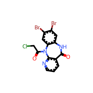 O=C1Nc2cc(Br)c(Br)cc2N(C(=O)CCl)c2ncccc21